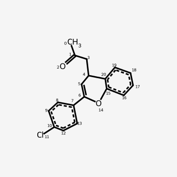 CC(=O)CC1C=C(c2ccc(Cl)cc2)Oc2ccccc21